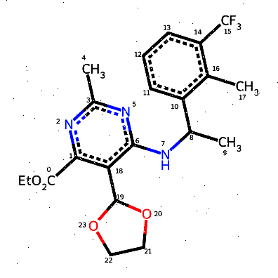 CCOC(=O)c1nc(C)nc(NC(C)c2cccc(C(F)(F)F)c2C)c1C1OCCO1